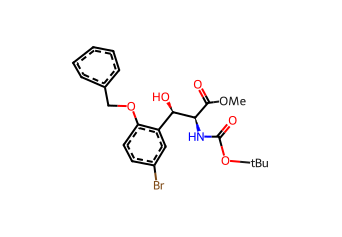 COC(=O)[C@@H](NC(=O)OC(C)(C)C)[C@H](O)c1cc(Br)ccc1OCc1ccccc1